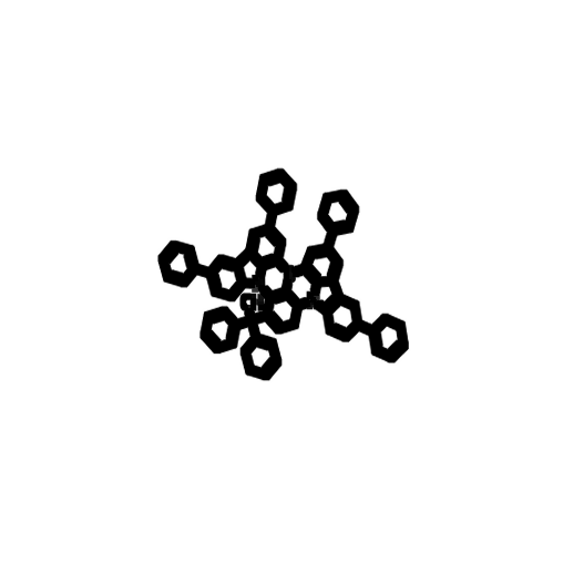 CC(C1=CC=CCC1)(C1=CCC2C3=C1N1c4c(cc(C5C=CC=CC5)cc4C4=CC(c5ccccc5)=CCC41)B3c1cc(C3=CC=CCC3)cc3c4c(n2c13)C=CC(C1=CC=CCC1)C4)c1ccccc1